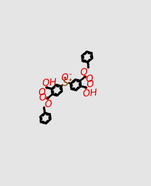 O=C(O)c1cc([S+]([O-])c2ccc(C(=O)O)c(C(=O)OCc3ccccc3)c2)ccc1C(=O)OCc1ccccc1